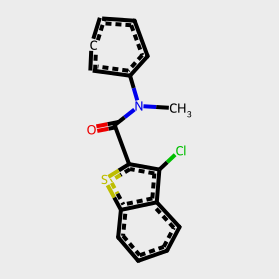 CN(C(=O)c1sc2ccccc2c1Cl)c1ccccc1